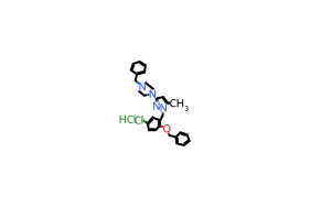 Cc1cc(N2CCN(Cc3ccccc3)CC2)nn1Cc1cc(Cl)ccc1OCc1ccccc1.Cl